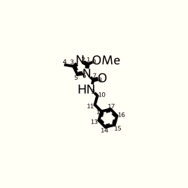 COc1nc(C)cn1C(=O)NCCc1ccccc1